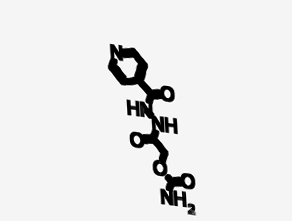 NC(=O)OCC(=O)NNC(=O)c1ccncc1